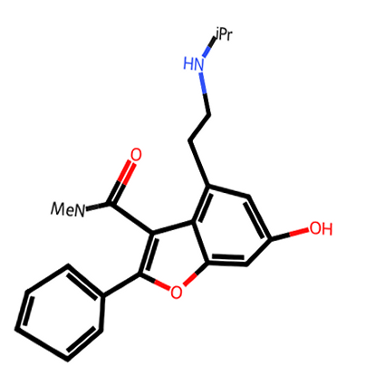 CNC(=O)c1c(-c2ccccc2)oc2cc(O)cc(CCNC(C)C)c12